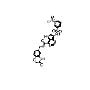 O=C1COc2ccc(CNC(=O)c3ncnc4c(NS(=O)(=O)c5cccc([N+](=O)[O-])c5)c[nH]c34)cc2N1